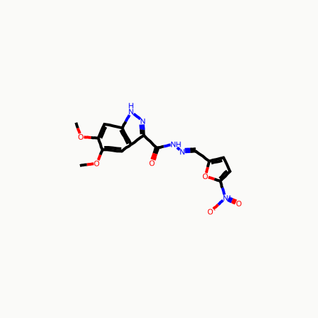 COc1cc2[nH]nc(C(=O)NN=Cc3ccc([N+](=O)[O-])o3)c2cc1OC